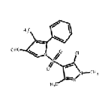 Cc1nn(C)c(Cl)c1S(=O)(=O)n1cc(C=O)c(C)c1-c1ccccc1